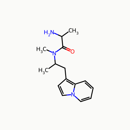 CC(N)C(=O)N(C)C(C)Cc1ccn2ccccc12